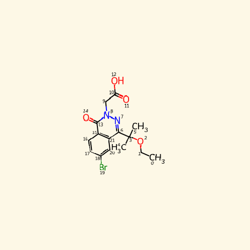 CCOC(C)(C)c1nn(CC(=O)O)c(=O)c2ccc(Br)cc12